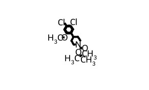 COc1cc(Cl)c(Cl)cc1C1CCN(C(=O)OC(C)(C)C)CC1